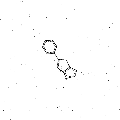 C1=C(c2ccccc2)Cc2ccsc21